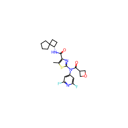 Cc1sc(N(C(=O)C2COC2)c2cc(F)nc(F)c2)nc1C(=O)N[C@H]1CCC12CCCC2